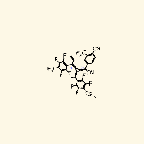 C=C/C(=C1/C(=C(C)c2c(F)c(F)c(C(F)(F)F)c(F)c2F)/C1=C(\C#N)c1ccc(C#N)c(C(F)(F)F)c1)c1c(F)c(F)c(C(F)(F)F)c(F)c1F